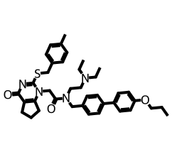 CCCOc1ccc(-c2ccc(CN(CCN(CC)CC)C(=O)Cn3c(SCc4ccc(C)cc4)nc(=O)c4c3CCC4)cc2)cc1